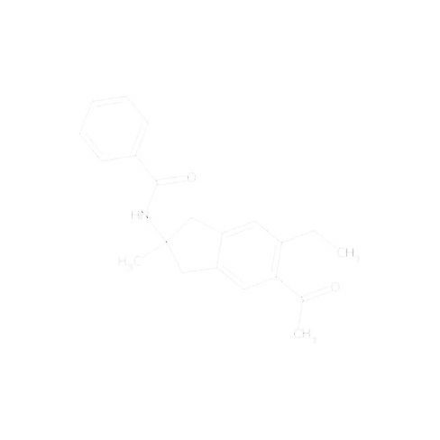 CCc1cc2c(cc1C(C)=O)CC(C)(NC(=O)c1ccccc1)C2